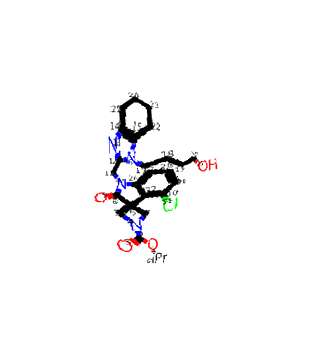 CC(C)OC(=O)N1CC2(C1)C(=O)N(Cc1nc3c(n1CCCCO)CCCC3)c1cccc(Cl)c12